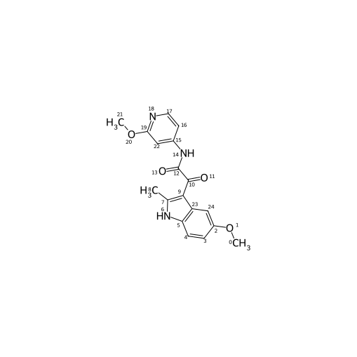 COc1ccc2[nH]c(C)c(C(=O)C(=O)Nc3ccnc(OC)c3)c2c1